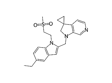 CCc1ccc2c(c1)cc(CN1CC3(CC3)c3ccncc31)n2CCS(C)(=O)=O